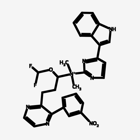 C[N+](C)(c1nccc(-c2c[nH]c3ccccc23)n1)C(CCc1nccnc1-c1cccc([N+](=O)[O-])c1)OC(F)F